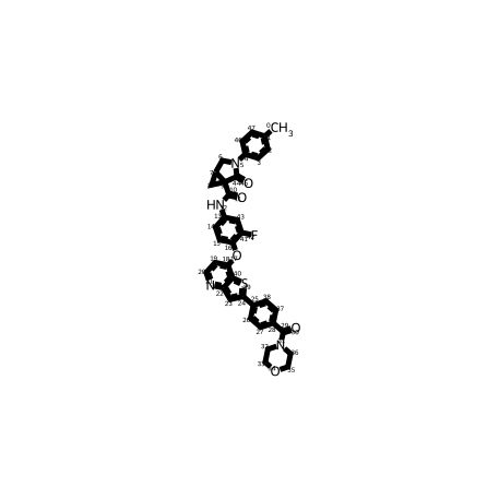 Cc1ccc(N2CC3CC3(C(=O)Nc3ccc(Oc4ccnc5cc(-c6ccc(C(=O)N7CCOCC7)cc6)sc45)c(F)c3)C2=O)cc1